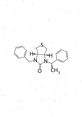 C[C@H](c1ccccc1)N1C(=O)N(Cc2ccccc2)[C@@H]2[C]SC[C@@H]21